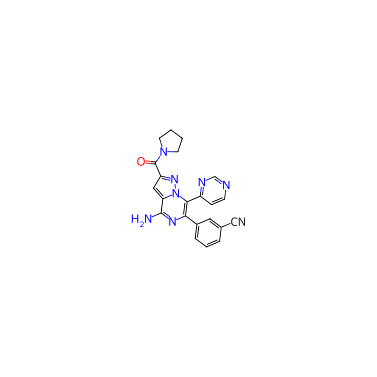 N#Cc1cccc(-c2nc(N)c3cc(C(=O)N4CCCC4)nn3c2-c2ccncn2)c1